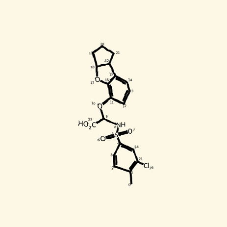 Cc1ccc(S(=O)(=O)NC(Oc2cccc3c2OC2CCCC32)C(=O)O)cc1Cl